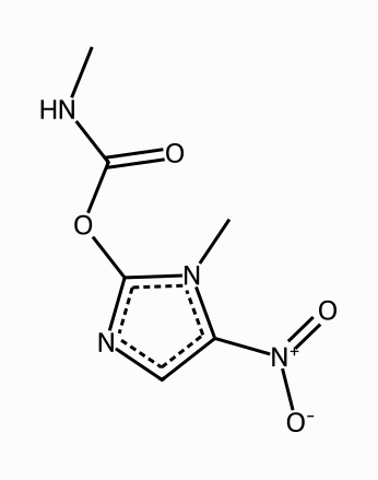 CNC(=O)Oc1ncc([N+](=O)[O-])n1C